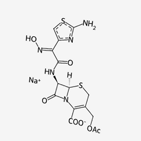 CC(=O)OCC1=C(C(=O)[O-])N2C(=O)[C@@H](NC(=O)C(=NO)c3csc(N)n3)[C@H]2SC1.[Na+]